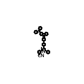 N#Cc1cccc(-c2nc(-c3ccccc3)cc(-c3ccc(-c4ccc(-n5c6ccccc6c6cc(N(c7ccccc7)c7ccccc7)ccc65)cc4)cc3)n2)c1